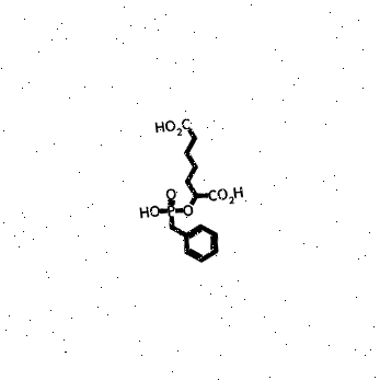 O=C(O)CCCCC(OP(=O)(O)Cc1ccccc1)C(=O)O